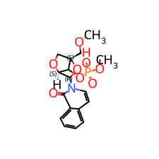 COC[C@]12CO[C@@H](C1OP(=O)(O)OC)[C@H](n1ccc3ccccc3c1=O)O2